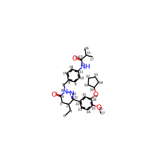 CCC1CC(=O)N(Cc2ccc(NC(=O)C(C)C)cc2)N=C1c1ccc(OC)c(OC2CCCC2)c1